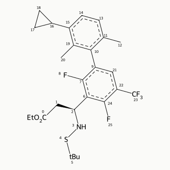 CCOC(=O)C[C@H](NSC(C)(C)C)c1c(F)c(-c2c(C)ccc(C3CC3)c2C)cc(C(F)(F)F)c1F